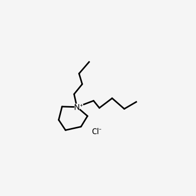 CCCCC[N+]1(CCCC)CCCCC1.[Cl-]